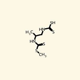 CSC(=S)NC(C)CNC(=S)S